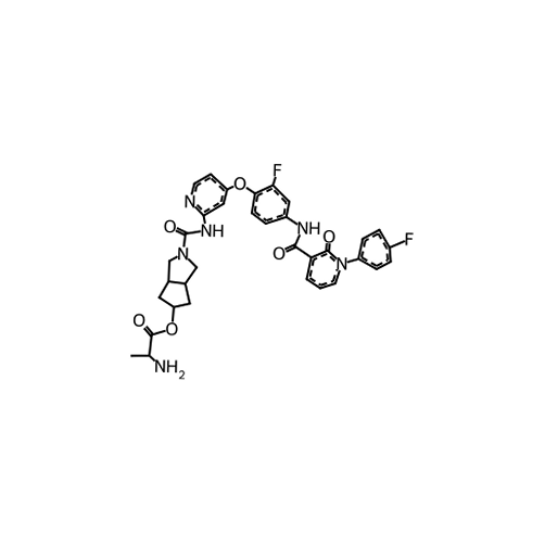 CC(N)C(=O)OC1CC2CN(C(=O)Nc3cc(Oc4ccc(NC(=O)c5cccn(-c6ccc(F)cc6)c5=O)cc4F)ccn3)CC2C1